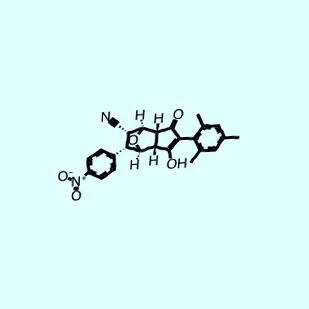 Cc1cc(C)c(C2=C(O)[C@@H]3[C@@H]4O[C@@H]([C@@H](C#N)[C@H]4c4ccc([N+](=O)[O-])cc4)[C@@H]3C2=O)c(C)c1